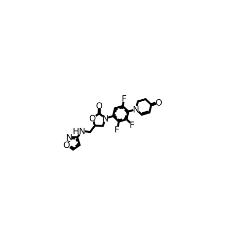 O=C1C=CN(c2c(F)cc(N3CC(CNc4ccon4)OC3=O)c(F)c2F)CC1